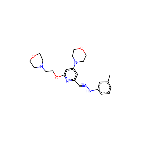 Cc1cccc(N/N=C/c2cc(N3CCOCC3)cc(OCCN3CCOCC3)n2)c1